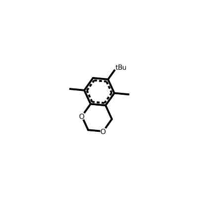 Cc1cc(C(C)(C)C)c(C)c2c1OCOC2